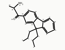 CCCC1(CCC)c2ccccc2-c2ccc(C(=O)C(C)N)cc21